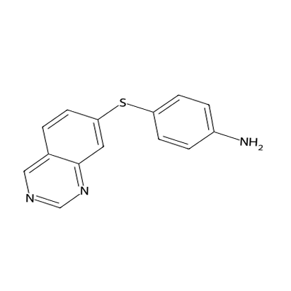 Nc1ccc(Sc2ccc3cncnc3c2)cc1